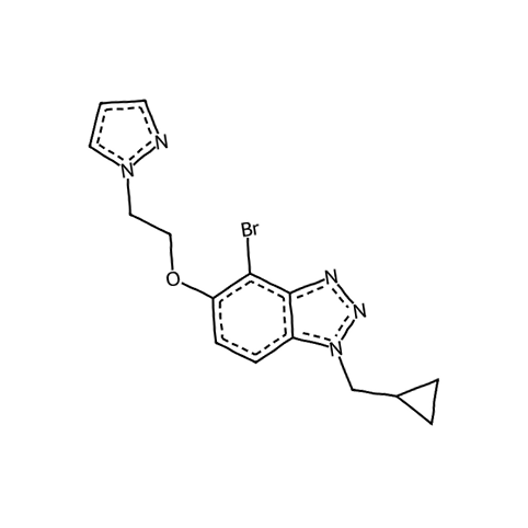 Brc1c(OCCn2cccn2)ccc2c1nnn2CC1CC1